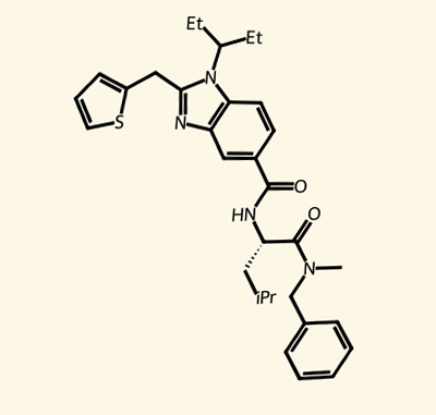 CCC(CC)n1c(Cc2cccs2)nc2cc(C(=O)N[C@@H](CC(C)C)C(=O)N(C)Cc3ccccc3)ccc21